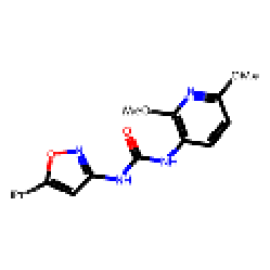 COc1ccc(NC(=O)Nc2cc(C(C)C)on2)c(OC)n1